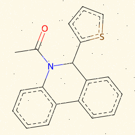 CC(=O)N1c2ccccc2-c2ccccc2C1c1cccs1